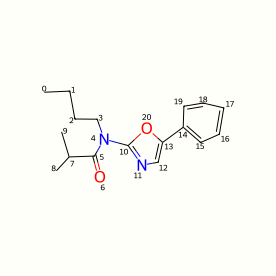 CCCCN(C(=O)C(C)C)c1ncc(-c2ccccc2)o1